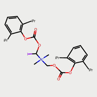 CC(C)c1cccc(C(C)C)c1OC(=O)OC[N+](C)(C)C(I)OC(=O)Oc1c(C(C)C)cccc1C(C)C